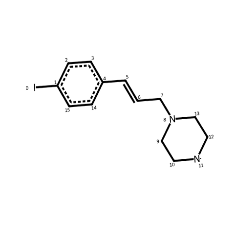 Ic1ccc(/C=C/CN2CC[N]CC2)cc1